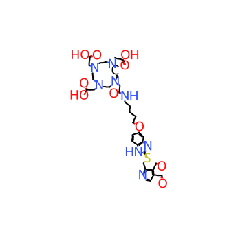 O=Cc1ccnc(CSc2nc3cc(OCCCCCNC(=O)CN4CCN(CC(=O)O)CCN(CC(=O)O)CCN(CC(=O)O)CC4)ccc3[nH]2)c1C=O